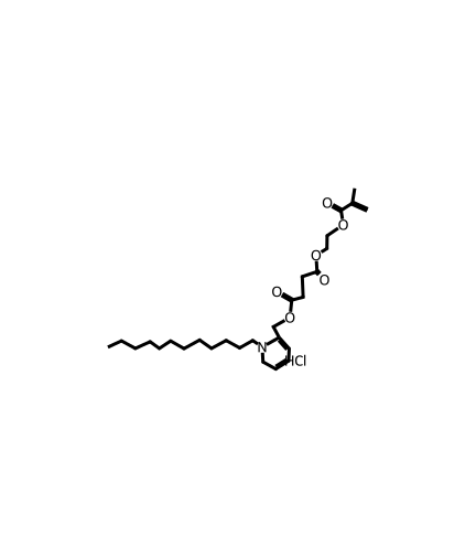 C=C(C)C(=O)OCCOC(=O)CCC(=O)OCC1=CC=CCN1CCCCCCCCCCCC.Cl